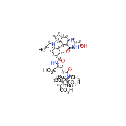 C#CCN(c1ccc(C(=O)N[C@@H](CCC(=O)N(C)[C@@](C(=O)O)(C(C)(C)C)C(CC(=O)O)(C(C)(C)C)C(C)(C)C)C(=O)O)cc1)C1CCc2cc3nc(CO)[nH]c(=O)c3cc21